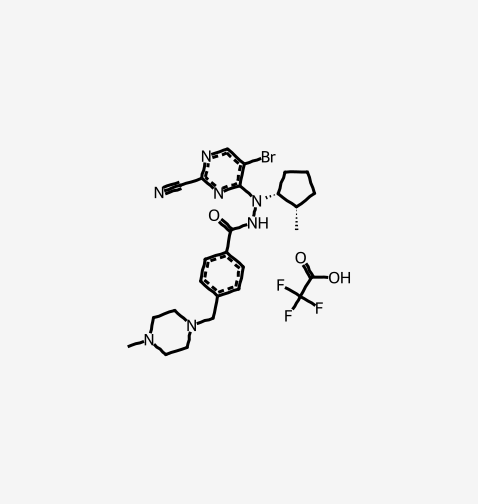 C[C@H]1CCC[C@H]1N(NC(=O)c1ccc(CN2CCN(C)CC2)cc1)c1nc(C#N)ncc1Br.O=C(O)C(F)(F)F